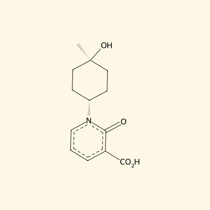 C[C@]1(O)CC[C@H](n2cccc(C(=O)O)c2=O)CC1